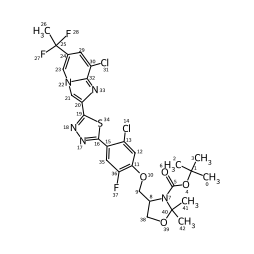 CC(C)(C)OC(=O)N1C(COc2cc(Cl)c(-c3nnc(-c4cn5cc(C(C)(F)F)cc(Cl)c5n4)s3)cc2F)COC1(C)C